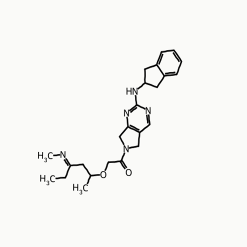 CC/C(CC(C)OCC(=O)N1Cc2cnc(NC3Cc4ccccc4C3)nc2C1)=N\C